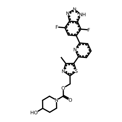 Cc1nc(COC(=O)N2CCC(O)CC2)sc1-c1cccc(-c2cc(F)c3nn[nH]c3c2F)n1